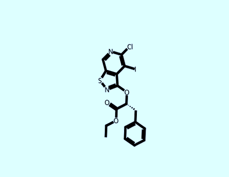 CCOC(=O)[C@@H](Cc1ccccc1)Oc1nsc2cnc(Cl)c(I)c12